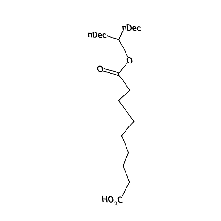 CCCCCCCCCCC(CCCCCCCCCC)OC(=O)CCCCCCCC(=O)O